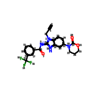 C#CCn1/c(=N/C(=O)c2cccc(C(F)(F)F)c2)[nH]c2cc(N3CCCOC3=O)ccc21